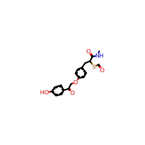 CNC(=O)C(Cc1ccc(OCC(=O)c2ccc(O)cc2)cc1)SC=O